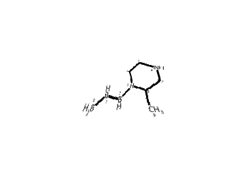 BBBN1CCNCC1C